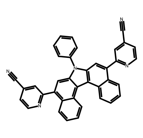 N#Cc1ccnc(-c2cc3c(c4ccccc24)c2c4ccccc4c(-c4cc(C#N)ccn4)cc2n3-c2ccccc2)c1